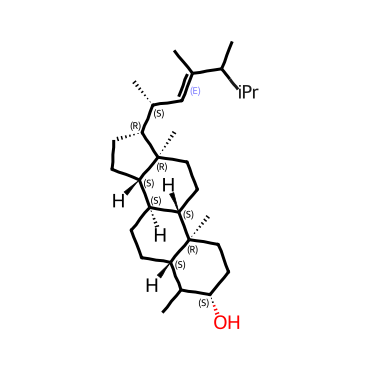 C/C(=C\[C@@H](C)[C@H]1CC[C@H]2[C@@H]3CC[C@H]4C(C)[C@@H](O)CC[C@]4(C)[C@H]3CC[C@]12C)C(C)C(C)C